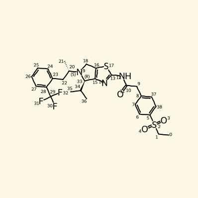 CCS(=O)(=O)c1ccc(CC(=O)Nc2nc3c(s2)CN([C@@H](C)Cc2ccccc2C(F)(F)F)[C@@H]3C(C)C)cc1